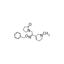 CN1CCC=C(C(CN2CCCC2=O)=NOCc2ccccc2)C1